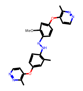 COc1cc(Oc2ccnnc2C)ccc1[N]Nc1ccc(Oc2ccnnc2C)cc1C